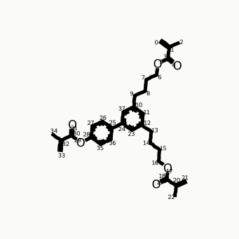 C=C(C)C(=O)OCCCCc1cc(CCCCOC(=O)C(=C)C)cc(-c2ccc(OC(=O)C(=C)C)cc2)c1